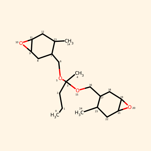 CCCC(C)(OCC1CC2OC2CC1C)OCC1CC2OC2CC1C